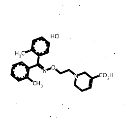 Cc1ccccc1C(=NOCCN1CCC=C(C(=O)O)C1)c1ccccc1C.Cl